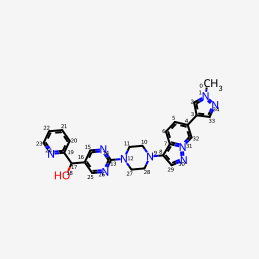 Cn1cc(-c2ccc3c(N4CCN(c5ncc(C(O)c6ccccn6)cn5)CC4)cnn3c2)cn1